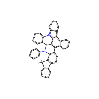 CC1(C)c2ccccc2-c2ccc3c(c21)N(c1ccccc1)B1c2ccccc2-n2c4ccccc4c4c5ccccc5c-3c1c42